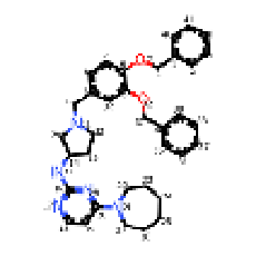 c1ccc(COc2ccc(CN3CCC(Nc4nccc(N5CCCCCC5)n4)C3)cc2OCc2ccccc2)cc1